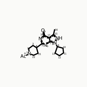 CC(=O)N1CCC(c2nc3n(C4CCCC4)[nH]c(C)c-3c(=O)n2)CC1